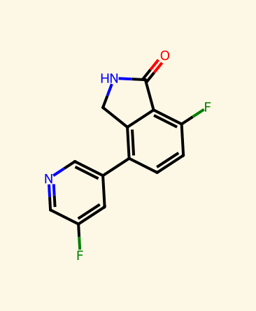 O=C1NCc2c(-c3cncc(F)c3)ccc(F)c21